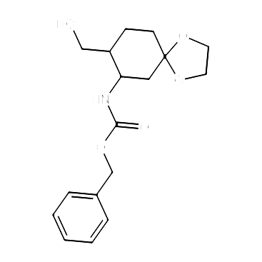 O=C(NC1CC2(CCC1CO)OCCO2)OCc1ccccc1